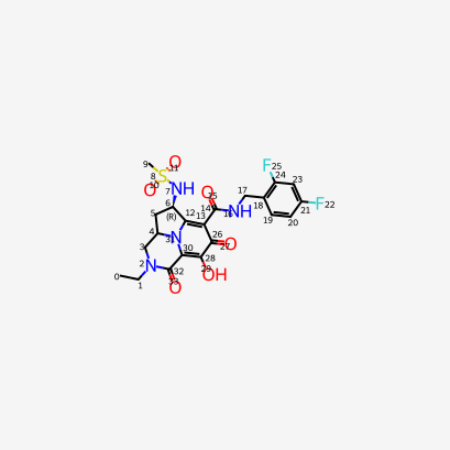 CCN1CC2C[C@@H](NS(C)(=O)=O)c3c(C(=O)NCc4ccc(F)cc4F)c(=O)c(O)c(n32)C1=O